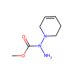 COC(=O)N(N)N1CC=CCC1